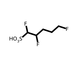 O=S(=O)(O)C(F)C(F)CCCF